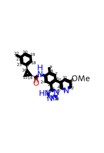 COc1cncc(-c2cc(C)c(NC(=O)[C@@H]3C[C@H]3c3cccc(C)c3)cc2-c2nnn[nH]2)c1